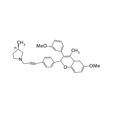 COC1=CC=C2OC(c3ccc(C#CCN4CC[C@@H](C)C4)cc3)C(c3cccc(OC)c3)=C(C)C2C1